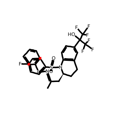 CC(C[C@@H]1CCc2cc(C(O)(C(F)(F)F)C(F)(F)F)ccc2N1S(=O)(=O)c1ccc(F)cc1)=NOc1ccccc1